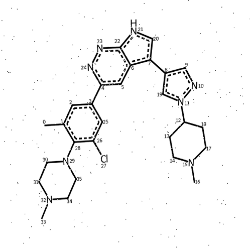 Cc1cc(-c2cc3c(-c4cnn(C5CCN(C)CC5)c4)c[nH]c3nn2)cc(Cl)c1N1CCN(C)CC1